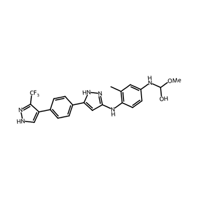 COC(O)Nc1ccc(Nc2cc(-c3ccc(-c4c[nH]nc4C(F)(F)F)cc3)[nH]n2)c(C)c1